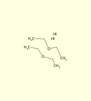 CCOCC.CCOCC.I.I